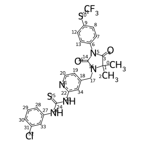 CC1(C)C(=O)N(c2ccc(SC(F)(F)F)cc2)C(=O)N1Cc1ccnc(NC(=S)Nc2cccc(Cl)c2)c1